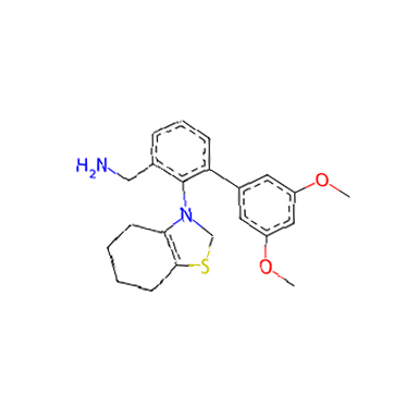 COc1cc(OC)cc(-c2cccc(CN)c2N2CSC3=C2CCCC3)c1